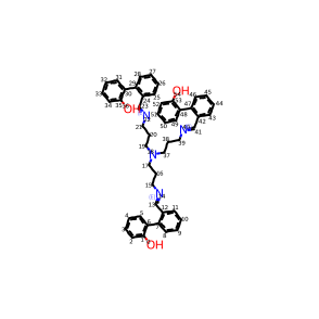 Oc1ccccc1-c1ccccc1/C=N/CCCN(CCC/N=C/c1ccccc1-c1ccccc1O)CCC/N=C/c1ccccc1-c1ccccc1O